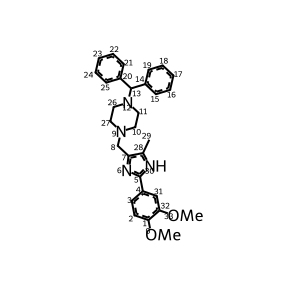 COc1ccc(-c2nc(CN3CCN(C(c4ccccc4)c4ccccc4)CC3)c(C)[nH]2)cc1OC